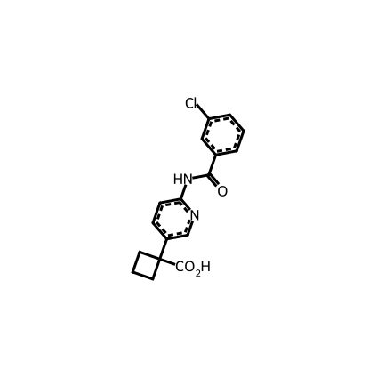 O=C(Nc1ccc(C2(C(=O)O)CCC2)cn1)c1cccc(Cl)c1